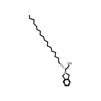 CCCCCCCCCCCCCCCCCCOC[C@H](CO)N1Cc2ccccc2C1